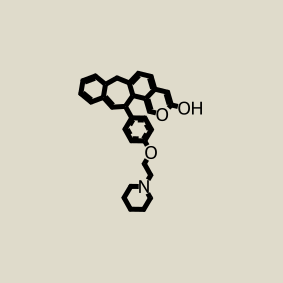 OC1=CC2=CC=C3CC4C=CC=CC4=CC(c4ccc(OCCN5CCCCC5)cc4)C3C2=CO1